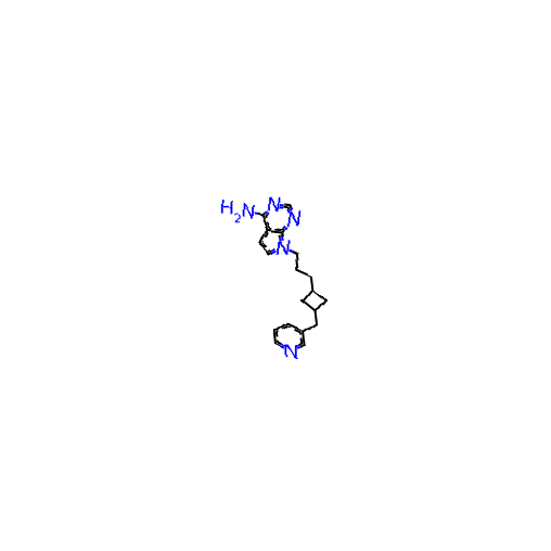 Nc1ncnc2c1ccn2CCCC1CC(Cc2cccnc2)C1